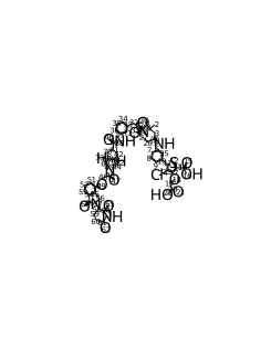 CC1(C)C[C@@H](Nc2cccc(-c3sc(C(=O)O)c(OCC(=O)O)c3Cl)c2)CCN1S(=O)(=O)Cc1cccc(NC(=O)C2C[C@@H]3CN(C(=O)COc4cccc5c4CN(C4CCC(=O)NC4=O)C5=O)C[C@@H]3C2)c1